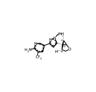 CC(C)n1nc(-c2cnc(N)c(C(F)(F)F)c2)cc1[C@]12C3OC[C@@H]1[C@H]32